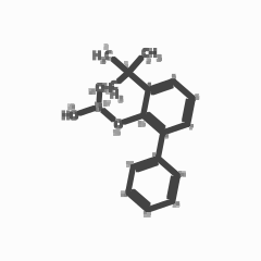 CC(C)(C)c1cccc(-c2ccccc2)c1OB(O)O